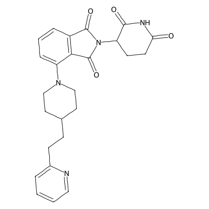 O=C1CCC(N2C(=O)c3cccc(N4CCC(CCc5ccccn5)CC4)c3C2=O)C(=O)N1